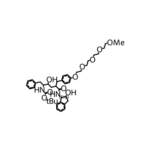 COCCOCCOCCOCCOc1ccc(CC(CC(O)C(Cc2ccccc2)NC(=O)OC(C)(C)C)C(=O)N[C@H]2c3ccccc3C[C@@H]2O)cc1